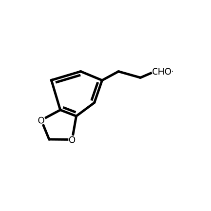 O=[C]CCc1ccc2c(c1)OCO2